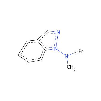 CC(C)N(C)n1ncc2ccccc21